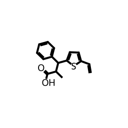 C=Cc1ccc(C(c2ccccc2)C(C)C(=O)O)s1